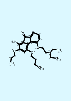 CCCCOc1cc(OCCC)c(N)c2c1-c1c(OCCN(CC)CC)cccc1C2=O